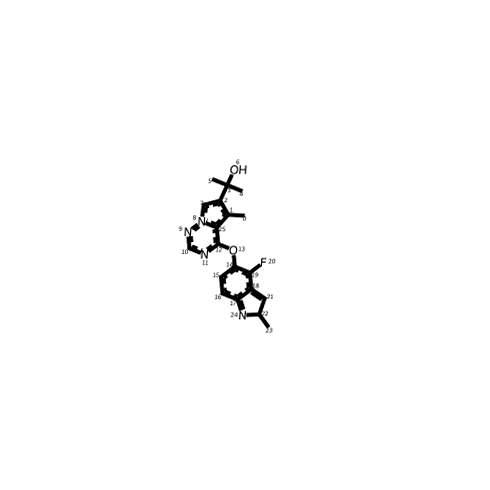 Cc1c(C(C)(C)O)cn2ncnc(Oc3ccc4c(c3F)=CC(C)N=4)c12